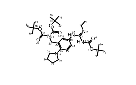 CC/N=C(/NC(=O)OC(C)(C)C)Nc1ccc(N2CCCC2)c(CN(C(=O)OC(C)(C)C)C(=O)OC(C)(C)C)c1